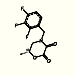 C[C@@H]1CN(Cc2ccc(F)c(F)c2F)C(=O)C(=O)O1